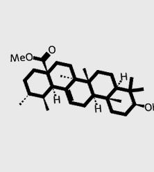 COC(=O)[C@]12CC[C@@H](C)[C@H](C)[C@@H]1C1=CC[C@@H]3[C@@]4(C)CC[C@H](O)C(C)(C)[C@@H]4CC[C@@]3(C)[C@]1(C)CC2